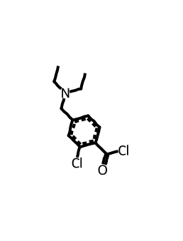 CCN(CC)Cc1ccc(C(=O)Cl)c(Cl)c1